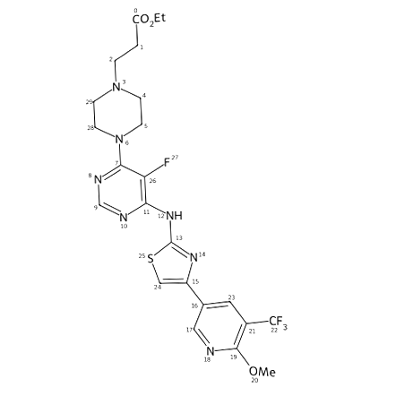 CCOC(=O)CCN1CCN(c2ncnc(Nc3nc(-c4cnc(OC)c(C(F)(F)F)c4)cs3)c2F)CC1